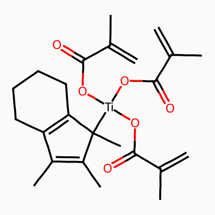 C=C(C)C(=O)[O][Ti]([O]C(=O)C(=C)C)([O]C(=O)C(=C)C)[C]1(C)C(C)=C(C)C2=C1CCCC2